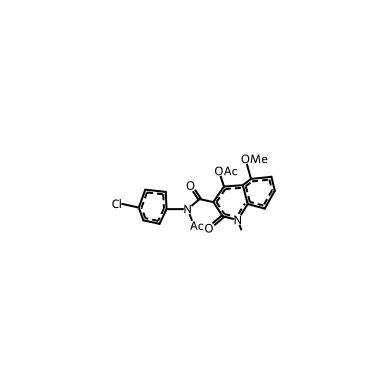 COc1cccc2c1c(OC(C)=O)c(C(=O)N(C(C)=O)c1ccc(Cl)cc1)c(=O)n2C